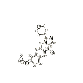 Cc1cn2c(C3CCOCC3)ncc2c(=O)n1Cc1ccc(OC2CC2)cc1